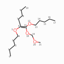 CCCCCOC(CCCC)=C(OCCCCC)OCOC